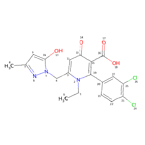 CCn1c(Cn2nc(C)cc2O)cc(=O)c(C(=O)O)c1-c1ccc(Cl)c(Cl)c1